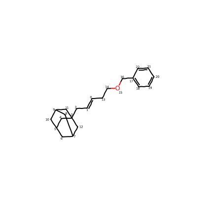 C(=C\CC12CC3CC(CC(C3)C1)C2)/CCOCc1ccccc1